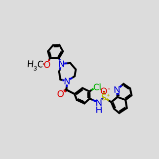 COc1ccccc1N1CCCN(C(=O)c2ccc(N[S+]([O-])c3cccc4cccnc34)c(Cl)c2)CC1